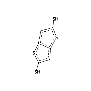 Sc1cc2sc(S)cc2s1